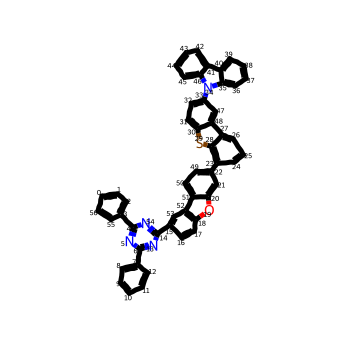 c1ccc(-c2nc(-c3ccccc3)nc(-c3ccc4oc5cc(-c6cccc7c6sc6ccc(-n8c9ccccc9c9ccccc98)cc67)ccc5c4c3)n2)cc1